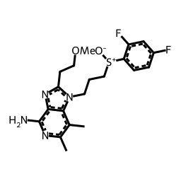 COCCc1nc2c(N)nc(C)c(C)c2n1CCC[S+]([O-])c1ccc(F)cc1F